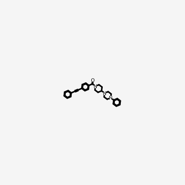 O=C(c1ccc(C#Cc2ccccc2)cc1)N1CCC(N2CCN(c3ccccc3)CC2)CC1